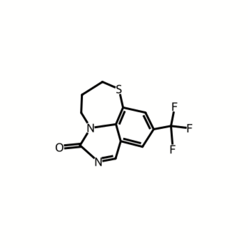 O=c1ncc2cc(C(F)(F)F)cc3c2n1CCCS3